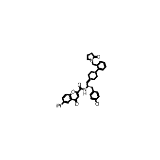 CC(C)c1ccc2oc(C(=O)N[C@@H](C=C3CCC(c4ccccc4CN4CCCC4=O)CC3)Cc3ccc(Cl)cc3)cc(=O)c2c1